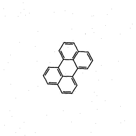 [c]1cc2cccc3c4c[c]cc5cccc(c(c1)c23)c54